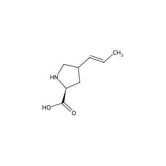 CC=CC1CN[C@H](C(=O)O)C1